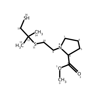 COC(=O)C1CCCN1CCSC(C)(C)CS